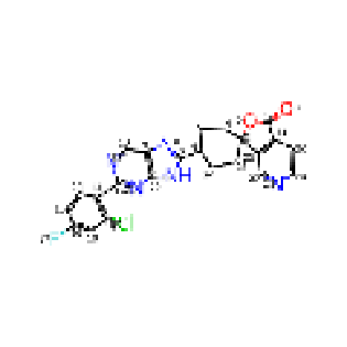 O=C1OC2(CCC(c3nc4cnc(-c5ccc(F)cc5Cl)nc4[nH]3)CC2)c2cnccc21